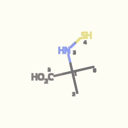 CC(C)(NS)C(=O)O